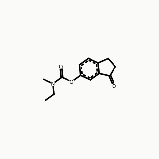 CCN(C)C(=O)Oc1ccc2c(c1)C(=O)CC2